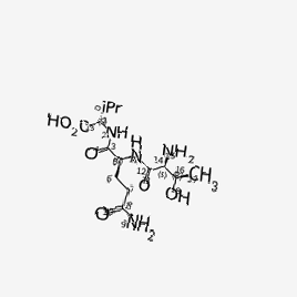 CC(C)[C@H](NC(=O)[C@H](CCC(N)=O)NC(=O)[C@@H](N)[C@@H](C)O)C(=O)O